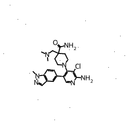 CN(C)CC1(C(N)=O)CCN(c2c(-c3ccc4c(cnn4C)c3)cnc(N)c2Cl)CC1